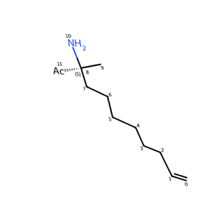 C=CCCCCCC[C@](C)(N)C(C)=O